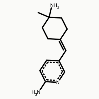 CC1(N)CCC(=Cc2ccc(N)nc2)CC1